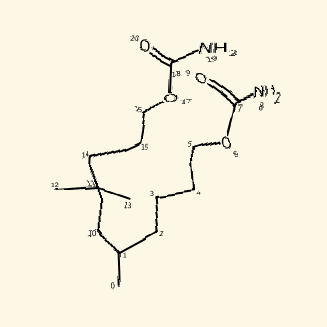 CC(CCCCOC(N)=O)CC(C)(C)CCCOC(N)=O